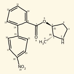 C[C@H]1NCC[C@@H]1OC(=O)c1ccccc1-c1ccc([N+](=O)[O-])cc1